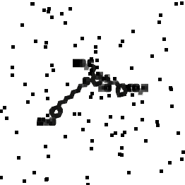 COc1ccc(CCCCCCCCOc2ccc(SC(O)Cc3cccc(C(=O)O)c3)nc2C=CC(=O)O)cc1